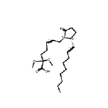 CCCCCCC/C=C/[C@H]1CCC(=O)[C@@H]1C/C=C\CCC(OC)(OC)C(=O)O